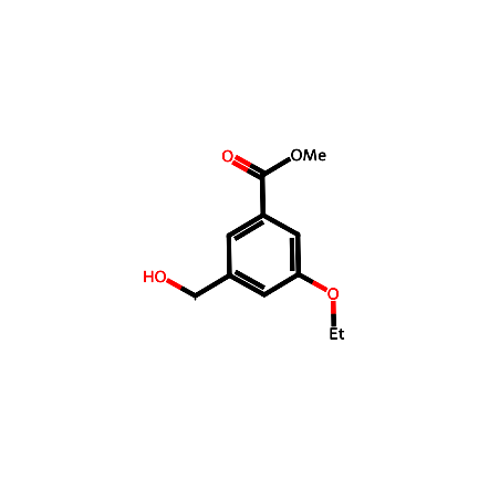 CCOc1cc([CH]O)cc(C(=O)OC)c1